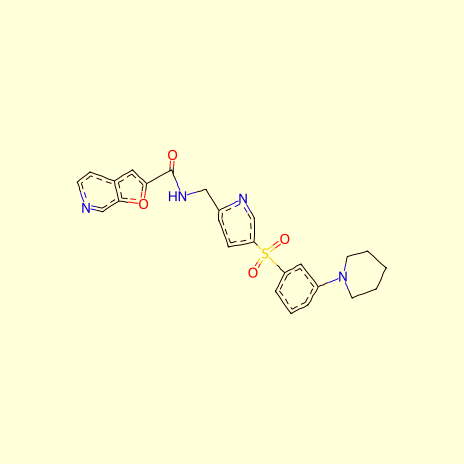 O=C(NCc1ccc(S(=O)(=O)c2cccc(N3CCCCC3)c2)cn1)c1cc2ccncc2o1